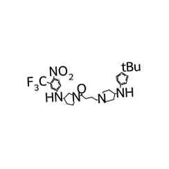 CC(C)(C)c1ccc(NC2CCN(CCCC(=O)N3CC[C@H](Nc4ccc([N+](=O)[O-])c(C(F)(F)F)c4)C3)CC2)cc1